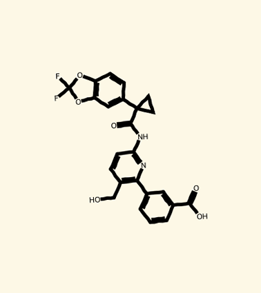 O=C(O)c1cccc(-c2nc(NC(=O)C3(c4ccc5c(c4)OC(F)(F)O5)CC3)ccc2CO)c1